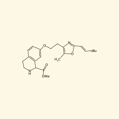 CCCC/C=C/c1nc(CCOc2ccc3c(c2)C(C(=O)OC)NCC3)c(C)o1